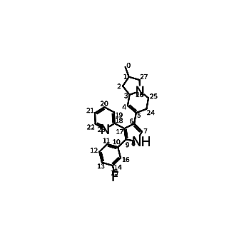 CC1CC2C=C(c3c[nH]c(-c4cccc(F)c4)c3-c3ccccn3)CCN2C1